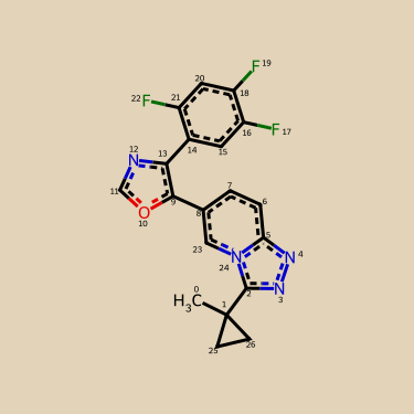 CC1(c2nnc3ccc(-c4ocnc4-c4cc(F)c(F)cc4F)cn23)CC1